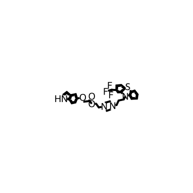 O=C(COc1ccc2[nH]ccc2c1)OCCN1CCN(CCCN2c3ccccc3Sc3ccc(C(F)(F)F)cc32)CC1